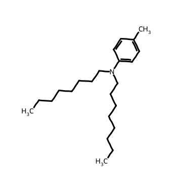 CCCCCCCCN(CCCCCCCC)c1ccc(C)cc1